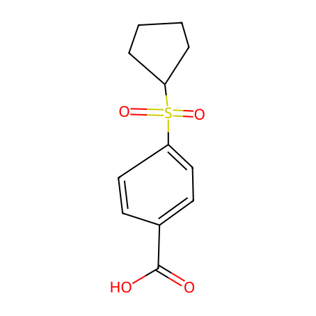 O=C(O)c1ccc(S(=O)(=O)C2CCCC2)cc1